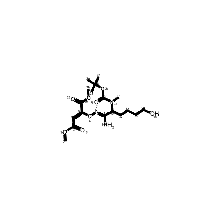 COC(=O)C=C(ON=C(N)C(CCCCO)N(C)C(=O)OC(C)(C)C)C(=O)OC